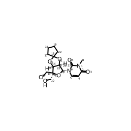 Cn1c(=O)ccn([C@@H]2O[C@@](CO)(CCl)[C@H]3OC4(CCCC4)O[C@@H]23)c1=O